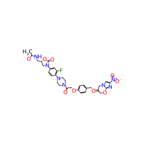 CC(=O)NCC1CN(c2ccc(N3CCN(C(=O)COc4ccc(CO[C@@H]5COc6nc([N+](=O)[O-])cn6C5)cc4)CC3)c(F)c2)C(=O)O1